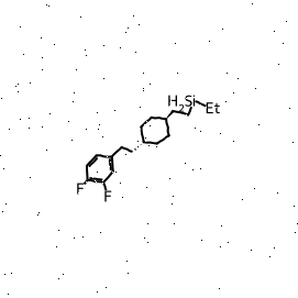 CC[SiH2]CC[C@H]1CC[C@H](CCc2ccc(F)c(F)c2)CC1